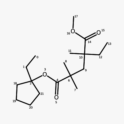 CCC1(OC(=O)C(C)(C)CC(C)(CC)C(=O)OC)CCCC1